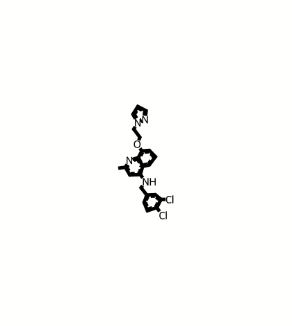 Cc1cc(NCc2ccc(Cl)c(Cl)c2)c2cccc(OCCn3cccn3)c2n1